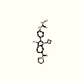 CC(C)NC(=O)Nc1ccc(-c2c(C#N)c3ccc(C(=O)N4CCCC4)cc3n2C2CCC2)cc1